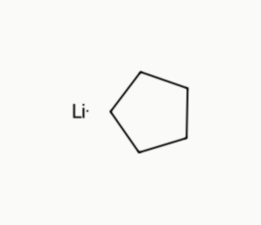 C1CCCC1.[Li]